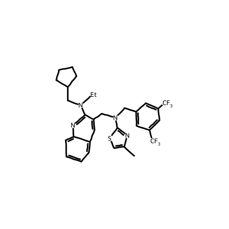 CCN(CC1CCCC1)c1nc2ccccc2cc1CN(Cc1cc(C(F)(F)F)cc(C(F)(F)F)c1)c1nc(C)cs1